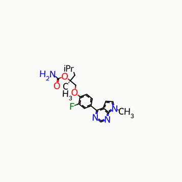 CC(C)C[C@@](C)(COc1ccc(-c2ncnc3c2ccn3C)cc1F)OC(N)=O